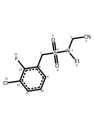 CCN(CC#N)S(=O)(=O)Cc1cccc(Cl)c1F